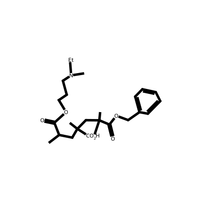 CCN(C)CCCOC(=O)C(C)CC(C)(CC(C)(C)C(=O)OCc1ccccc1)C(=O)O